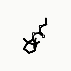 C[CH]OC(=O)OC1CC2CCC1(C)C2(C)C